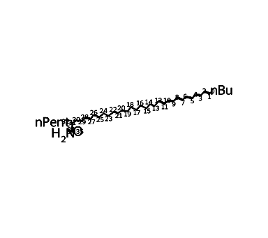 CCCC/C=C/C=C/C=C/C=C/C=C/C=C/CCCCCCCCCCCCCC/C=C/CCC(CCCCC)C(N)=O